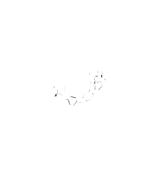 NC(=O)COc1ccc(CN2CCN(c3ccc4nnc(C(F)(F)F)n4n3)CC2)cc1